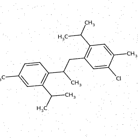 Cc1ccc(C(C)Cc2cc(Cl)c(C)cc2C(C)C)c(C(C)C)c1